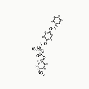 CC(C)(C)[C@@H](COc1ccc(OCc2ccccc2)cc1)OC(=O)Oc1ccc([N+](=O)[O-])cc1